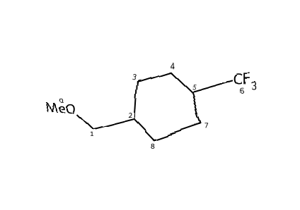 COCC1CCC(C(F)(F)F)CC1